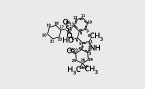 Cc1[nH]c2c(c1C(O)c1ccccc1S(=O)(=O)C1CCCCC1)C(=O)CC(C)(C)C2